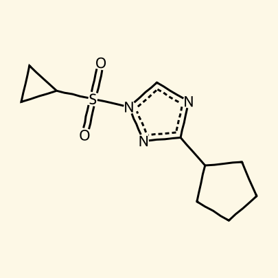 O=S(=O)(C1CC1)n1cnc(C2CCCC2)n1